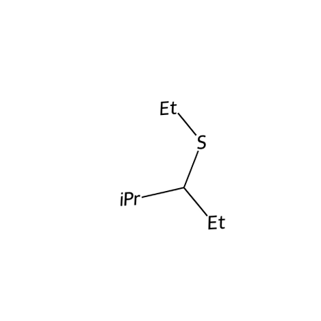 [CH2]CSC(CC)C(C)C